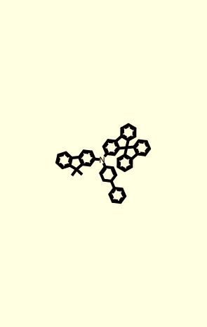 CC1(C)c2ccccc2-c2ccc(N(C3=CCC(c4ccccc4)C=C3)c3ccc4c(c3)C3(c5ccccc5-c5ccccc53)c3ccccc3-4)cc21